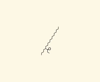 CCCCCCCCCCCCCC(CCCC)C(=O)CC